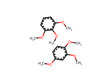 COc1ccc(OC)c(OC)c1.COc1cccc(OC)c1OC